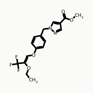 CCO/C(=C\Oc1ccc(Cn2cc(C(=O)OC)cn2)cc1)C(F)(F)F